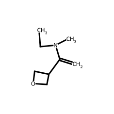 C=C(C1COC1)N(C)CC